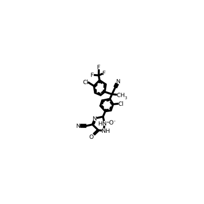 CC(C#N)(c1ccc(Cl)c(C(F)(F)F)c1)c1ccc(C2N=C(C#N)C(=O)N[NH+]2[O-])cc1Cl